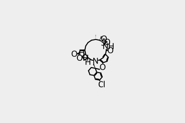 C[C@@H]1[C@@H](C)CCC/C(=C/C(=O)O)[C@@H]2CC[C@H]2CN2C[C@@]3(CCCc4cc(Cl)ccc43)COc3ccc(cc32)C(=O)NS1(=O)=O